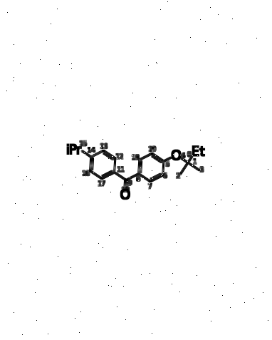 CCC(C)(C)Oc1ccc(C(=O)c2ccc(C(C)C)cc2)cc1